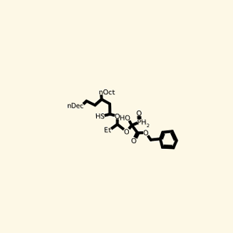 CCCCCCCCCCCCC(CCCCCCCC)CC(S)OC(CC)OC(O)([PH2]=O)C(=O)OCc1ccccc1